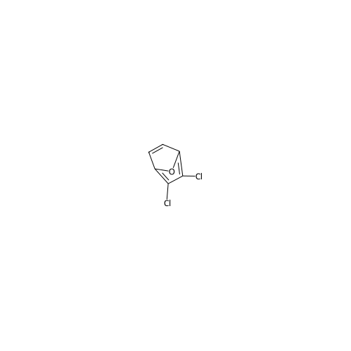 Clc1c(Cl)c2ccc1o2